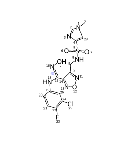 Cn1cnc(S(=O)(=O)NCc2nonc2/C(=N\O)Nc2ccc(F)c(Cl)c2)c1